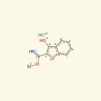 CCOC(=N)c1oc2ccccc2c1O.Cl